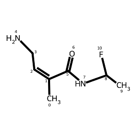 C/C(=C/CN)C(=O)NC(C)F